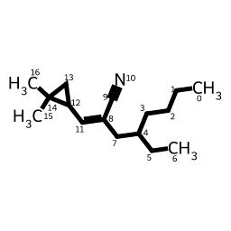 CCCCC(CC)C/C(C#N)=C/C1CC1(C)C